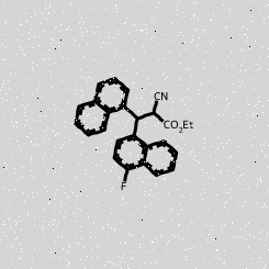 CCOC(=O)C(C#N)C(c1cccc2ccccc12)c1ccc(F)c2ccccc12